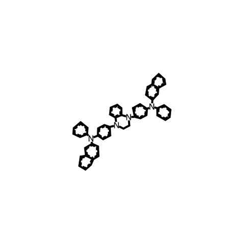 c1ccc(N(c2ccc(N3CCN(c4ccc(N(c5ccccc5)c5ccc6ccccc6c5)cc4)c4ccccc43)cc2)c2ccc3ccccc3c2)cc1